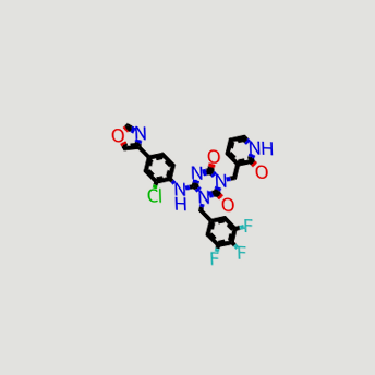 O=c1[nH]cccc1Cn1c(=O)nc(Nc2ccc(-c3cocn3)cc2Cl)n(Cc2cc(F)c(F)c(F)c2)c1=O